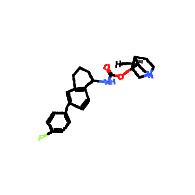 O=C(NC1CCCc2cc(-c3ccc(F)cc3)ccc21)O[C@H]1CN2CCC1CC2